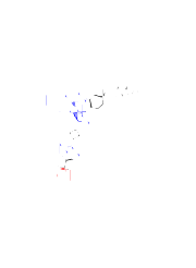 COc1ccc2c(c1)nc(N)n1nc([C@H]3C[C@H](c4ncc(C(C)(C)O)cn4)C3)nc21